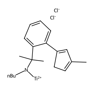 CCCC[N]([Ti+2])C(C)(C)c1ccccc1C1=CC(C)=CC1.[Cl-].[Cl-]